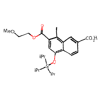 COCCOC(=O)c1cc(O[Si](C(C)C)(C(C)C)C(C)C)c2ccc(C(=O)O)cc2c1C